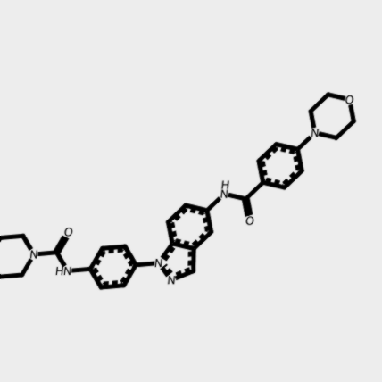 O=C(Nc1ccc2c(cnn2-c2ccc(NC(=O)N3CCOCC3)cc2)c1)c1ccc(N2CCOCC2)cc1